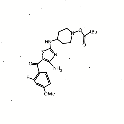 COc1ccc(C(=O)c2sc(NC3CCN(OC(=O)C(C)(C)C)CC3)nc2N)c(F)c1